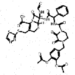 CC(=O)Oc1ccc(CN2CCN(C(=O)NC(C(=O)N[C@]3(NC=O)C(=O)N4C(C(=O)O)=C(CSc5nncs5)CS[C@H]43)c3ccccc3)C(=O)C2=O)cc1OC(C)=O